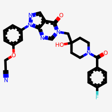 N#CCOc1cccc(-n2ncc3c(=O)n(CC4(O)CCN(C(=O)c5ccc(F)cc5)CC4)cnc32)c1